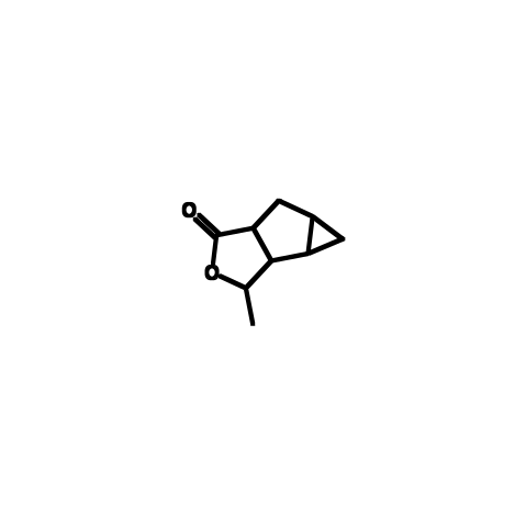 CC1OC(=O)C2CC3CC3C12